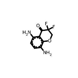 Nc1ccc(N)c2c1OCC(F)(F)C2=O